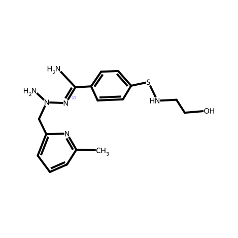 Cc1cccc(CN(N)/N=C(\N)c2ccc(SNCCO)cc2)n1